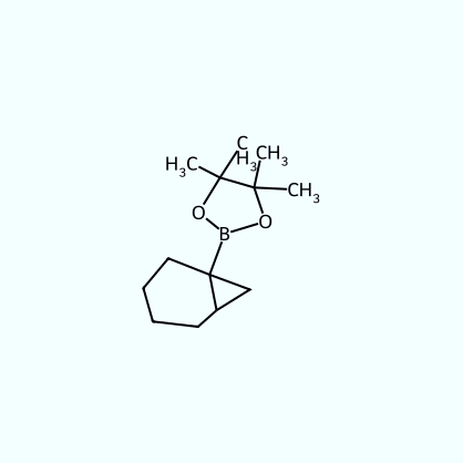 CC1(C)OB(C23CCCCC2C3)OC1(C)C